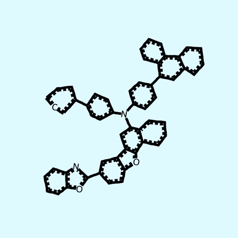 c1ccc(-c2ccc(N(c3ccc(-c4cc5ccccc5c5ccccc45)cc3)c3cc4c5cc(-c6nc7ccccc7o6)ccc5oc4c4ccccc34)cc2)cc1